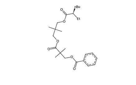 CCCC[C@@H](CC)C(=O)OCC(C)(C)COC(=O)C(C)(C)COC(=O)c1ccccc1